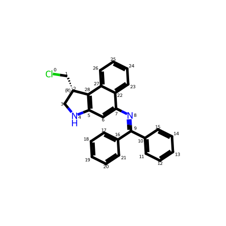 ClC[C@H]1CNc2cc(N=C(c3ccccc3)c3ccccc3)c3ccccc3c21